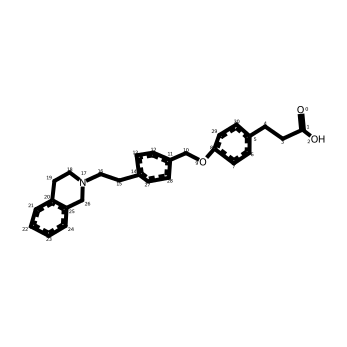 O=C(O)CCc1ccc(OCc2ccc(CCN3CCc4ccccc4C3)cc2)cc1